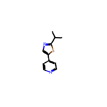 CC(C)c1ncc(-c2ccncc2)s1